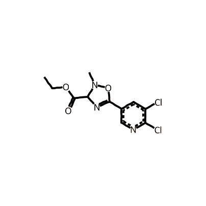 CCOC(=O)C1N=C(c2cnc(Cl)c(Cl)c2)ON1C